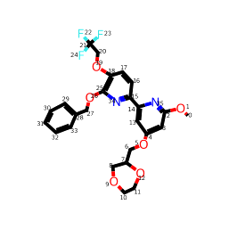 COc1cc(OCC2COCCO2)cc(-c2ccc(OCC(F)(F)F)c(OCc3ccccc3)n2)n1